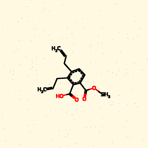 C=CCc1ccc(C(=O)O[SiH3])c(C(=O)O)c1CC=C